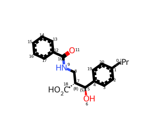 CC(C)c1ccc([C@@H](O)[C@@H](CNC(=O)c2ccccc2)C(=O)O)cc1